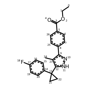 CCOC(=O)c1ccc(-c2n[nH]c(C3(c4ccc(F)cc4)CC3)c2C)cc1